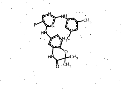 Cc1cc(C)cc(Nc2ncc(F)c(Nc3ccc4c(c3)NC(=O)C(C)(C)O4)n2)c1